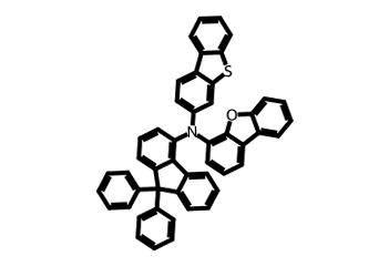 c1ccc(C2(c3ccccc3)c3ccccc3-c3c(N(c4ccc5c(c4)sc4ccccc45)c4cccc5c4oc4ccccc45)cccc32)cc1